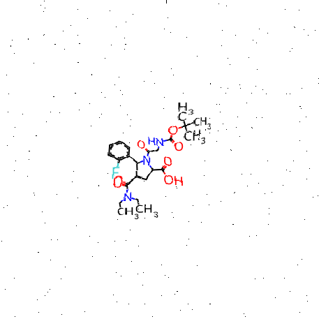 CCN(CC)C(=O)C1CC(C(=O)O)N(C(=O)CNC(=O)OC(C)(C)C)C1c1ccccc1F